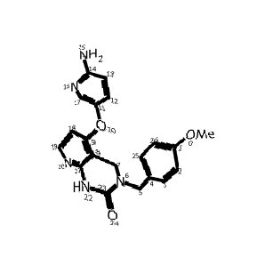 COc1ccc(CN2Cc3c(Oc4ccc(N)nc4)ccnc3NC2=O)cc1